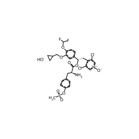 CS(=O)(=O)Oc1ccc(C[C@H](N)C(=O)O[C@@H](Cc2c(Cl)c[n+]([O-])cc2Cl)c2ccc(OC(F)F)c(OCC3CC3)c2)cc1.Cl